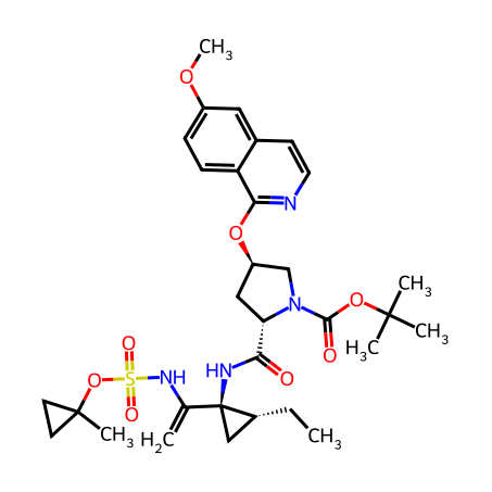 C=C(NS(=O)(=O)OC1(C)CC1)[C@@]1(NC(=O)[C@@H]2C[C@@H](Oc3nccc4cc(OC)ccc34)CN2C(=O)OC(C)(C)C)C[C@H]1CC